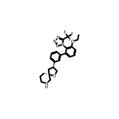 CCOc1cccc(-c2cccc([C@H]3CO[C@]4(CCCNC4)C3)c2)c1-n1nnnc1C(F)(F)F